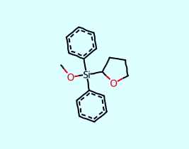 CO[Si](c1ccccc1)(c1ccccc1)C1CCCO1